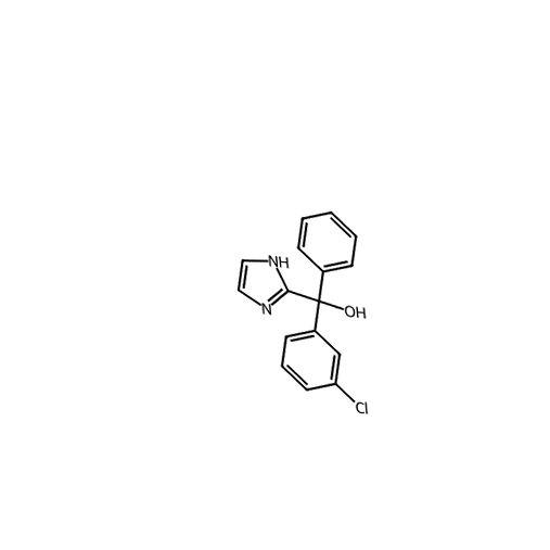 OC(c1ccccc1)(c1cccc(Cl)c1)c1ncc[nH]1